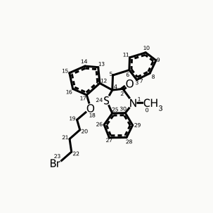 CN1C(=O)C(Cc2ccccc2)(c2ccccc2OCCCCBr)Sc2ccccc21